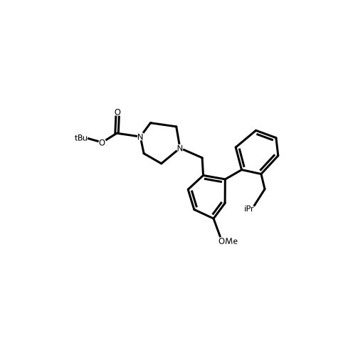 COc1ccc(CN2CCN(C(=O)OC(C)(C)C)CC2)c(-c2ccccc2CC(C)C)c1